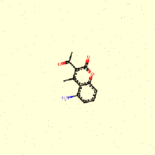 CC(=O)c1c(C)c2c(N)cccc2oc1=O